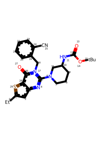 CCc1cc2nc(N3CCCC(NC(=O)OC(C)(C)C)C3)n(Cc3ccccc3C#N)c(=O)c2s1